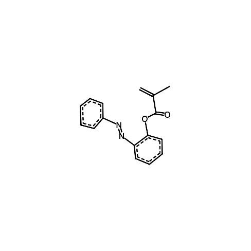 C=C(C)C(=O)Oc1ccccc1/N=N/c1ccccc1